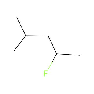 CC(C)CC(C)F